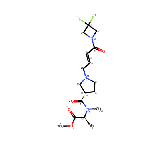 CC(C)[C@@H](C(=O)OC(C)(C)C)N(C)C(=O)[C@H]1CCN(C/C=C/C(=O)N2CC(F)(F)C2)C1